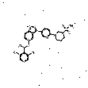 CS(=O)(=O)N1CCCN(c2ccc(-c3n[nH]c4ccc(O[C@H](N)c5c(Cl)cncc5Cl)cc34)cn2)C1